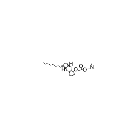 CCCCCCCC[C@H]1CC[C@@H]2Cc3c(cccc3OCC(=O)OCCN(C)C)C[C@H]12